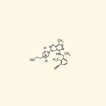 Cc1c(C#N)cccc1[C@@H](C)Nc1nnc(C)c2cnc(N3C[C@H]4CC[C@@H]3CN4CCO)cc12